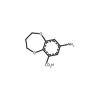 Nc1cc2c(c(C(=O)O)c1)OCCCO2